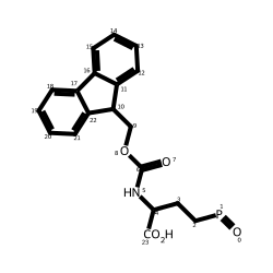 O=PCCC(NC(=O)OCC1c2ccccc2-c2ccccc21)C(=O)O